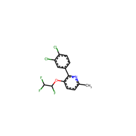 Cc1ccc(OC(F)C(F)F)c(-c2ccc(Cl)c(Cl)c2)n1